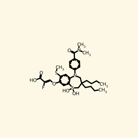 CCCCC1(CCCC)CN(c2ccc(C(=O)N(C)C)cc2)c2cc(SC)c(OC=C(F)C(=O)O)cc2S(O)(O)C1